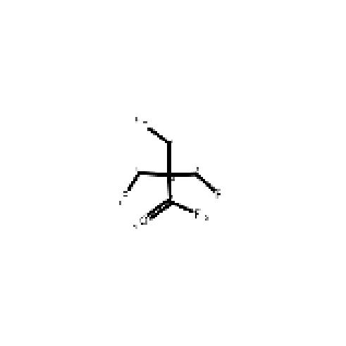 O=C(F)C(CF)(CF)CF